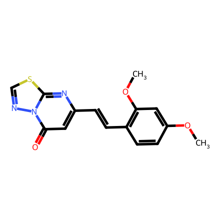 COc1ccc(/C=C/c2cc(=O)n3ncsc3n2)c(OC)c1